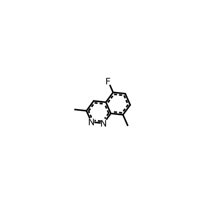 Cc1cc2c(F)ccc(C)c2nn1